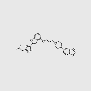 CC(C)Cc1nnc(-c2cc3c(OCCCN4CCC(c5ccc6c(c5)OCO6)CC4)cccc3o2)o1